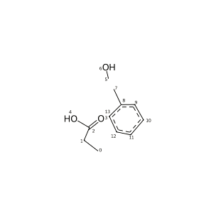 CCC(=O)O.CO.Cc1ccccc1